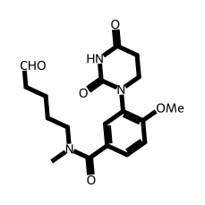 COc1ccc(C(=O)N(C)CCCCC=O)cc1N1CCC(=O)NC1=O